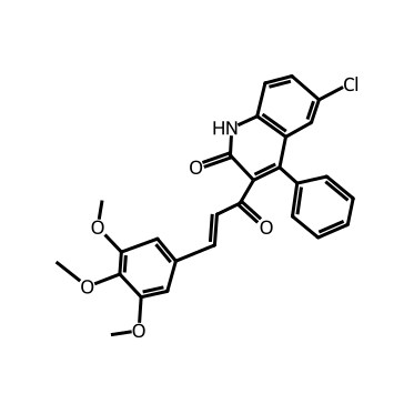 COc1cc(C=CC(=O)c2c(-c3ccccc3)c3cc(Cl)ccc3[nH]c2=O)cc(OC)c1OC